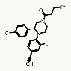 C#Cc1ccc(N2CCN(C(=O)CCC(C)C)C[C@H]2c2ccc(Cl)cc2)c(Cl)c1